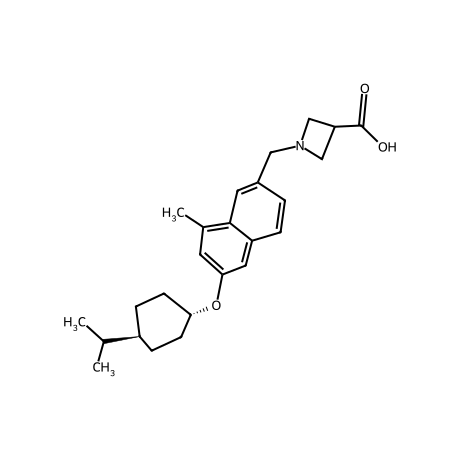 Cc1cc(O[C@H]2CC[C@H](C(C)C)CC2)cc2ccc(CN3CC(C(=O)O)C3)cc12